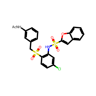 CC(=O)Nc1cccc(CS(=O)(=O)c2ccc(Cl)cc2NS(=O)(=O)c2cc3ccccc3o2)c1